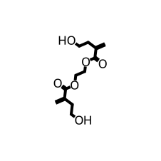 C=C(CCO)C(=O)OCCOC(=O)C(=C)CCO